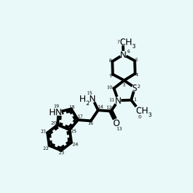 CC1SC2(CCN(C)CC2)CN1C(=O)C(N)Cc1c[nH]c2ccccc12